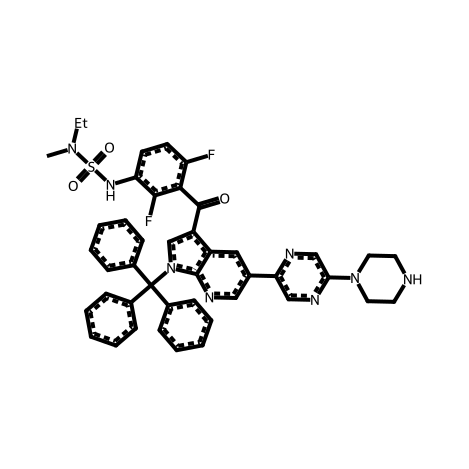 CCN(C)S(=O)(=O)Nc1ccc(F)c(C(=O)c2cn(C(c3ccccc3)(c3ccccc3)c3ccccc3)c3ncc(-c4cnc(N5CCNCC5)cn4)cc23)c1F